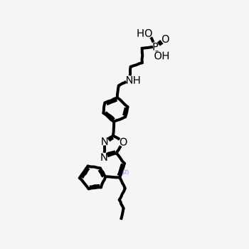 CCCC/C(=C/c1nnc(-c2ccc(CNCCCP(=O)(O)O)cc2)o1)c1ccccc1